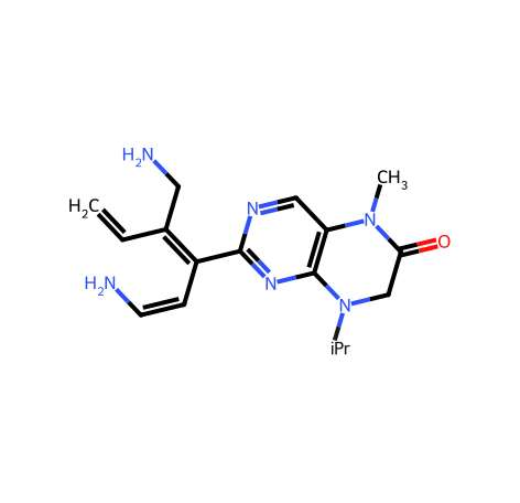 C=C/C(CN)=C(\C=C/N)c1ncc2c(n1)N(C(C)C)CC(=O)N2C